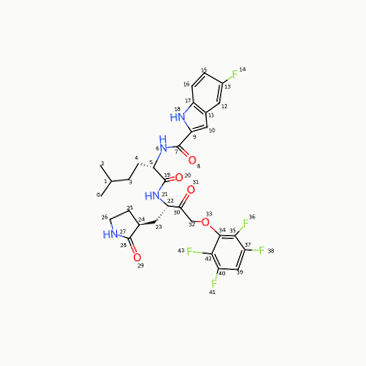 CC(C)CC[C@H](NC(=O)c1cc2cc(F)ccc2[nH]1)C(=O)N[C@@H](C[C@@H]1CCNC1=O)C(=O)COc1c(F)c(F)cc(F)c1F